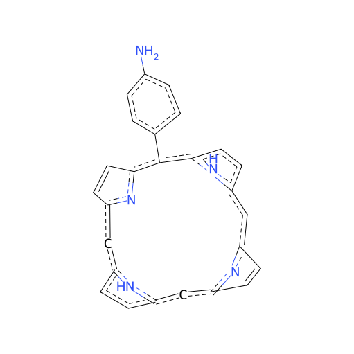 Nc1ccc(-c2c3nc(cc4ccc(cc5nc(cc6ccc2[nH]6)C=C5)[nH]4)C=C3)cc1